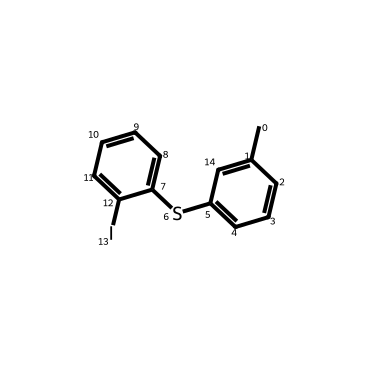 Cc1cccc(Sc2ccccc2I)c1